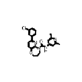 Cc1cc(NC(=O)N2CCCOc3ccc(-c4cccc(Cl)c4)nc32)cc(C)n1